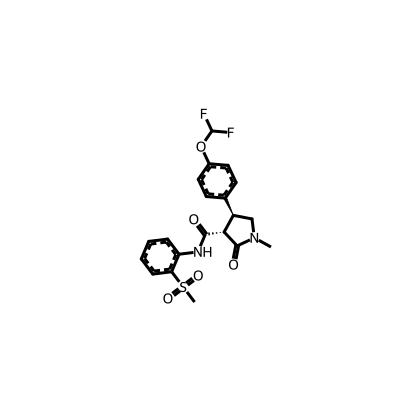 CN1C[C@H](c2ccc(OC(F)F)cc2)[C@@H](C(=O)Nc2ccccc2S(C)(=O)=O)C1=O